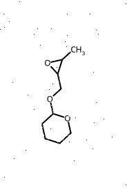 CC1OC1COC1CCCCO1